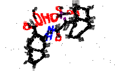 COC(=O)c1cc2ccccc2cc1NC(=O)C(c1cccc2ccccc12)P(=O)(O)O